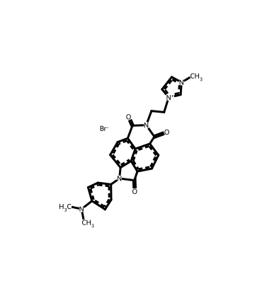 CN(C)c1ccc(N2C(=O)c3ccc4c5c(ccc2c35)C(=O)N(CC[n+]2ccn(C)c2)C4=O)cc1.[Br-]